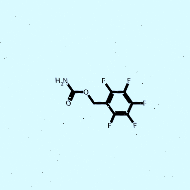 NC(=O)OCc1c(F)c(F)c(F)c(F)c1F